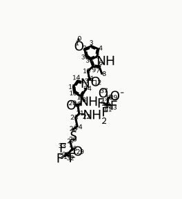 COc1ccc2[nH]c(C)c(CC(=O)[n+]3cccc(NC(=O)[C@@H](N)CCCSCC(=O)C(F)(F)F)c3)c2c1.O=C([O-])C(F)(F)F